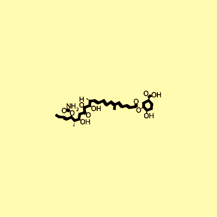 CC/C=C/[C@@H](OC(N)=O)[C@@H](C)[C@H](O)CC(=O)[C@@H](O)[C@H](O)[C@H](C)/C=C/C=C/C=C(C)/C=C/C=C/C(=O)O[C@@H]1C[C@@H](C(=O)O)CC[C@@H]1O